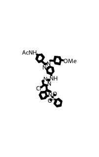 COc1ccc(Cn2c(-c3ccc(NC(C)=O)cc3)nc3cc(Nc4ncc(Cl)c(-c5cn(S(=O)(=O)c6ccccc6)c6ccccc56)n4)ccc32)cc1